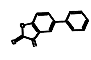 O=c1[nH]c2cc(-c3ccccc3)ccc2o1